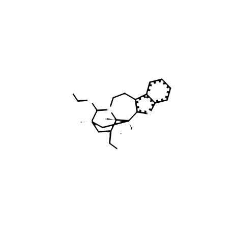 CCOC1[C@@H]2C[C@H](CC)[C@H]3[C@@H](C2)c2[nH]c4ccccc4c2CCN13